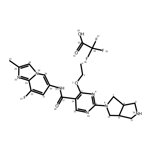 CCOc1nc(N2CC3CNCC3C2)ncc1C(=O)Nc1cc(F)c2nc(C)cn2c1.O=C(O)C(F)(F)F